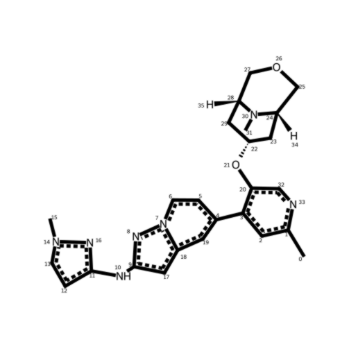 Cc1cc(-c2ccn3nc(Nc4ccn(C)n4)cc3c2)c(O[C@H]2C[C@H]3COC[C@@H](C2)N3C)cn1